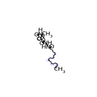 CC/C=C\C/C=C\C/C=C\C/C=C\C/C=C\CCCC(=O)NCCNC(=O)Oc1cccc2c(=O)[nH]c(C)nc12